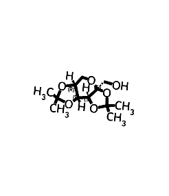 CC1(C)O[C@@H]2[C@@H](CO[C@@]3(CO)OC(C)(C)O[C@@H]23)O1